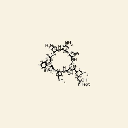 CCCCCCC[C@@H](O)CC(=O)N[C@H](CN)C(=O)N[C@H]1CCNC(=O)[C@H](CC(C)C)NC(=O)[C@H](CCN)NC(=O)[C@H](CCN)NC(=O)[C@H](Cc2ccccc2)NC(=O)[C@@H](CC(C)C)NC(=O)[C@H](CCN)NC1=O